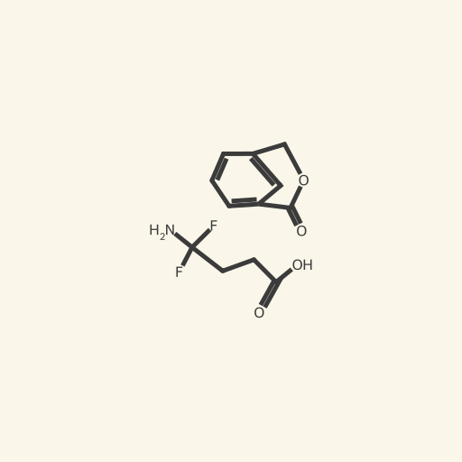 NC(F)(F)CCC(=O)O.O=C1OCc2cccc1c2